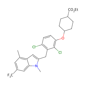 CCOC(=O)C1CCC(Oc2ccc(Cl)c(Cc3cc4c(C)cc(C(F)(F)F)cc4n3C)c2Cl)CC1